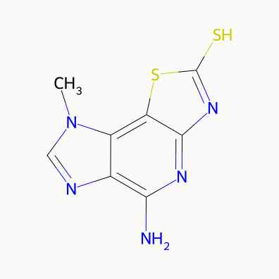 Cn1cnc2c(N)nc3nc(S)sc3c21